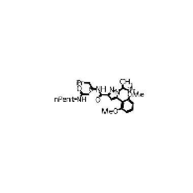 CCCCCNC(=O)C[C@H](CC(C)C)NC(=O)c1cc(-c2c(OC)cccc2OC)n(C(C)C(C)C)n1